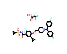 O=C(NS(=O)(=O)C1CC1)c1cc(C2CC2)c(OCC2CCN(C(c3ccc(F)cc3)c3ccc(F)cc3)CC2)cc1F.O=C(O)C(F)(F)F